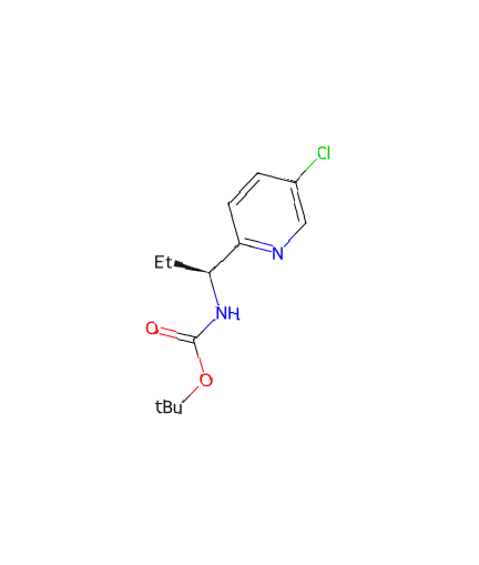 CC[C@H](NC(=O)OC(C)(C)C)c1ccc(Cl)cn1